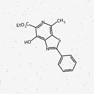 CCOC(=O)c1nc(C)c2sc(-c3ccccc3)nc2c1O